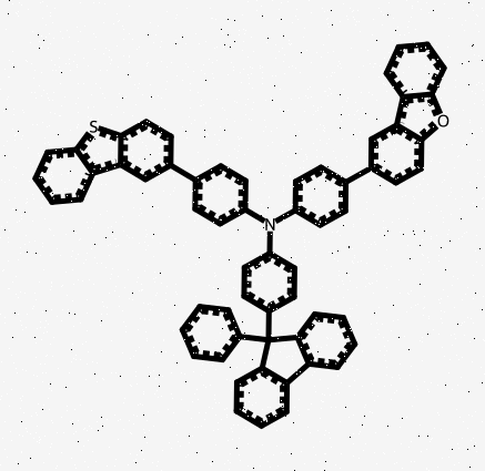 c1ccc(C2(c3ccc(N(c4ccc(-c5ccc6oc7ccccc7c6c5)cc4)c4ccc(-c5ccc6sc7ccccc7c6c5)cc4)cc3)c3ccccc3-c3ccccc32)cc1